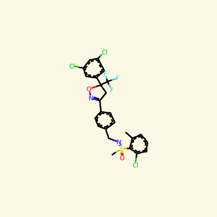 Cc1cccc(Cl)c1S(C)(=O)=NCc1ccc(C2=NOC(c3cc(Cl)cc(Cl)c3)(C(F)(F)F)C2)cc1